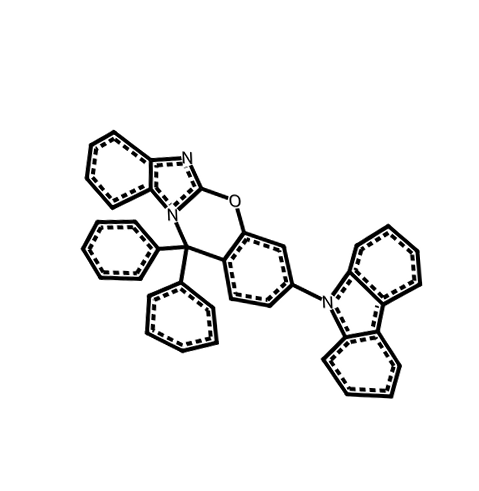 c1ccc(C2(c3ccccc3)c3ccc(-n4c5ccccc5c5ccccc54)cc3Oc3nc4ccccc4n32)cc1